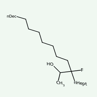 CCCCCCCCCCCCCCCCCC(F)(CCCCCCC)C(C)O